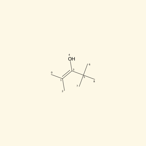 CC(C)=C(O)C(C)(C)C